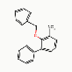 O=[N+]([O-])c1cccc(-c2ccccc2)c1OCc1ccccc1